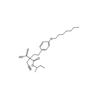 C#CCC(CCc1ccc(OCCCCCCC)cc1)(C(=O)O)C(=O)OC(C)CC